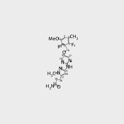 COc1cc(C)c(F)c(COc2cnc(Nc3cc(CCC(N)=O)n(C)n3)nc2)c1F